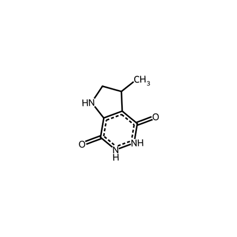 CC1CNc2c1c(=O)[nH][nH]c2=O